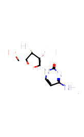 Nc1ccn([C@@H]2O[C@H](CO)[C@@H](S)[C@H]2O)c(=O)n1